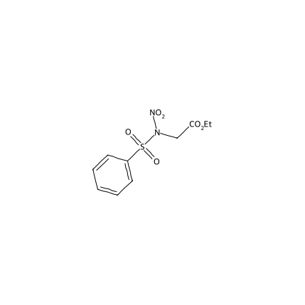 CCOC(=O)CN([N+](=O)[O-])S(=O)(=O)c1ccccc1